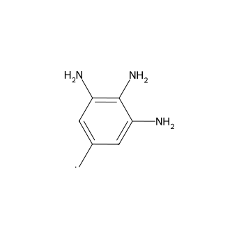 [CH2]c1cc(N)c(N)c(N)c1